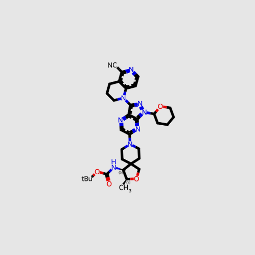 C[C@@H]1OCC2(CCN(c3cnc4c(N5CCCc6c5ccnc6C#N)nn(C5CCCCO5)c4n3)CC2)[C@@H]1NC(=O)OC(C)(C)C